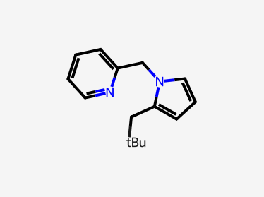 CC(C)(C)Cc1cccn1Cc1ccccn1